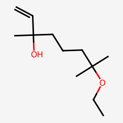 C=CC(C)(O)CCCC(C)(C)OCC